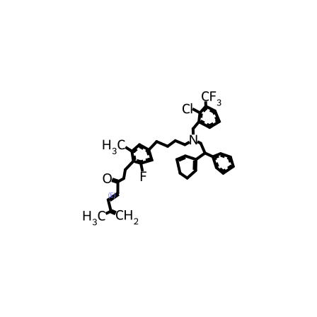 C=C(C)/C=C/C(=O)CCc1c(C)cc(CCCCN(Cc2cccc(C(F)(F)F)c2Cl)CC(C2=CCCC=C2)c2ccccc2)cc1F